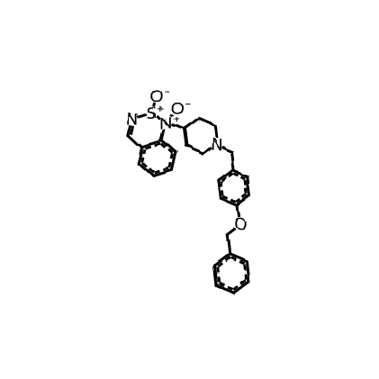 [O-][S+]1N=Cc2ccccc2[N+]1([O-])C1CCN(Cc2ccc(OCc3ccccc3)cc2)CC1